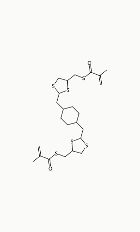 C=C(C)C(=O)SCC1CSC(CC2CCC(CC3SCC(CSC(=O)C(=C)C)S3)CC2)S1